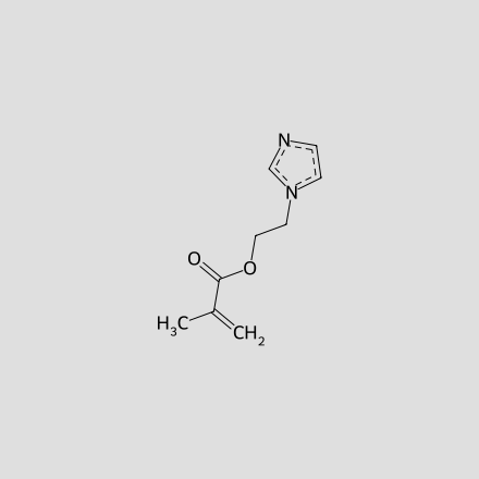 C=C(C)C(=O)OCCn1ccnc1